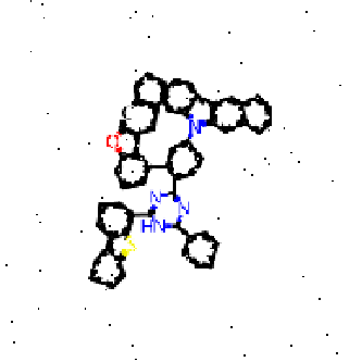 c1ccc(C2N=C(c3ccc(-n4c5ccccc5c5cc6ccccc6cc54)cc3-c3cccc4oc5cc6ccccc6cc5c34)N=C(c3cccc4c3sc3ccccc34)N2)cc1